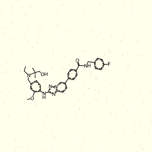 CCN(Cc1ccc(Nc2nc3ccc(-c4ccc(C(=O)NCc5ccc(F)cc5)cc4)cn3n2)c(OC)c1)C(C)(C)CO